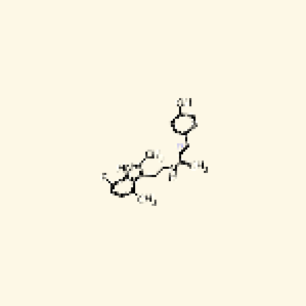 C=C(/C=C/c1ccc(O)cc1)NCCc1c(C)[nH]c2c(F)ccc(C)c12